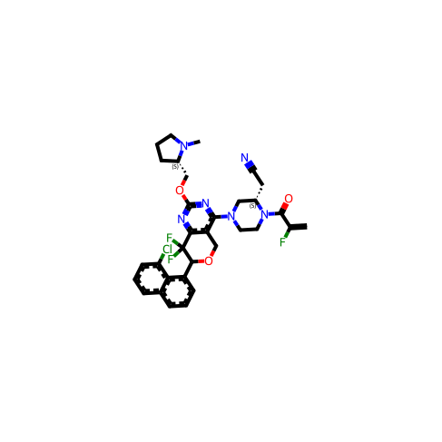 C=C(F)C(=O)N1CCN(c2nc(OC[C@@H]3CCCN3C)nc3c2COC(c2cccc4cccc(Cl)c24)C3(F)F)C[C@@H]1CC#N